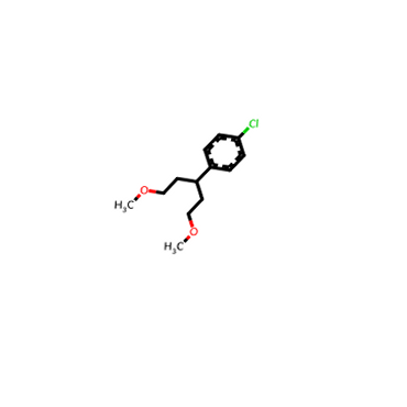 COCCC(CCOC)c1ccc(Cl)cc1